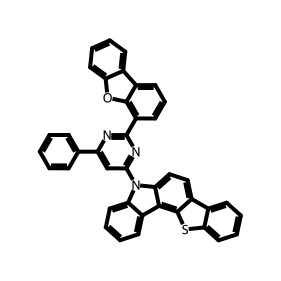 c1ccc(-c2cc(-n3c4ccccc4c4c5sc6ccccc6c5ccc43)nc(-c3cccc4c3oc3ccccc34)n2)cc1